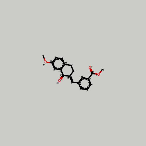 COC(=O)c1cccc(/C=C2\CCc3ccc(OC)cc3C2=O)c1